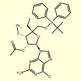 CC[C@@]1(CO[Si](c2ccccc2)(c2ccccc2)C(C)(C)C)O[C@@H](n2cnc3c(Cl)nc(N)nc32)[C@H](OC(C)=O)[C@@H]1OP